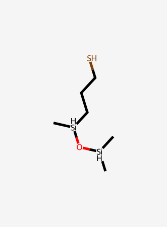 C[SiH](C)O[SiH](C)CCCS